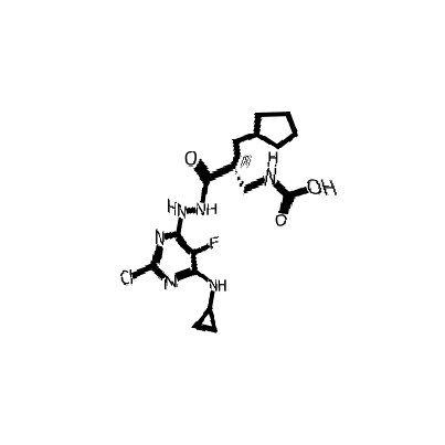 O=C(O)NC[C@@H](CC1CCCC1)C(=O)NNc1nc(Cl)nc(NC2CC2)c1F